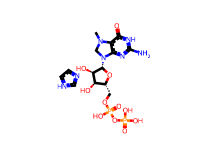 CN1CN([C@@H]2O[C@H](COP(=O)(O)OP(=O)(O)O)[C@@H](O)[C@H]2O)c2nc(N)[nH]c(=O)c21.c1c[nH]cn1